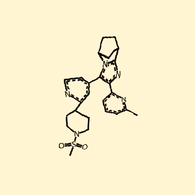 Cc1cccc(-c2nc3n(c2-c2ccnc(C4CCN(S(C)(=O)=O)CC4)c2)C2CCC3C2)n1